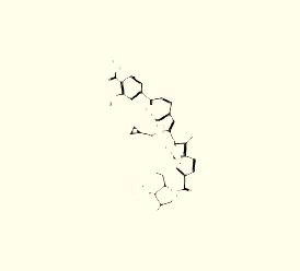 CCC1[C@H](N)C(C)CN1C(=O)c1ccc2c(C)c(-c3cc4ccc(-c5ccc(C(N)=O)c(OC)c5)nc4n3CC3CC3)nn2c1